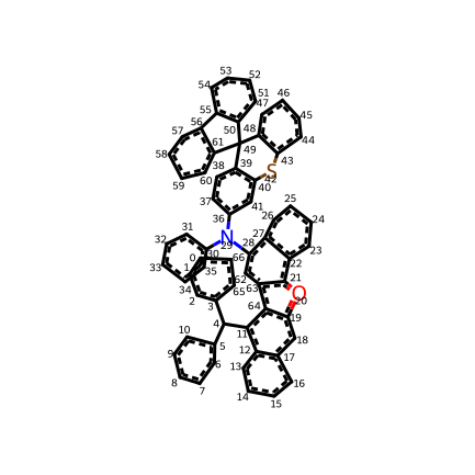 c1ccc(C(c2ccccc2)c2c3ccccc3cc3oc4c5ccccc5c(N(c5ccccc5)c5ccc6c(c5)Sc5ccccc5C65c6ccccc6-c6ccccc65)cc4c23)cc1